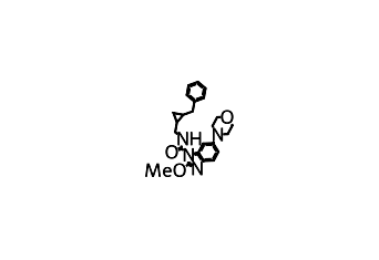 COc1nc2ccc(N3CCOCC3)cc2n1C(=O)NCC1CC1Cc1ccccc1